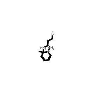 BN1C=CC=CC1(C)NCCCBr